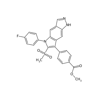 COC(=O)c1ccc(-c2c(S(C)(=O)=O)n(-c3ccc(F)cc3)c3cc4cn[nH]c4cc23)cc1